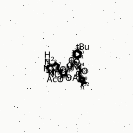 CC(=O)O[C@H]1[C@@H](OC(C)=O)[C@](C#N)(c2ccc3c(N)ncnn23)O[C@@H]1COP(=O)(N[C@@H](C)C(=O)OC1CC(C)(C)C1)Oc1ccc(C(C)(C)C)cc1